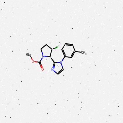 Cc1cccc(-n2ccnc2[C@@H]2[C@H](F)CCN2C(=O)OC(C)(C)C)c1